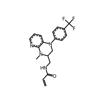 C=CC(=O)NCC1CN(c2ccc(C(F)(F)F)cc2)c2cccnc2N1C